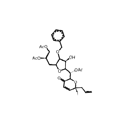 C=CC[C@]1(I)C=CC(=O)C([C@@H](OC(C)=O)C2OC(C[C@H](COC(C)=O)OC(C)=O)C(OCc3ccccc3)[C@H]2O)O1